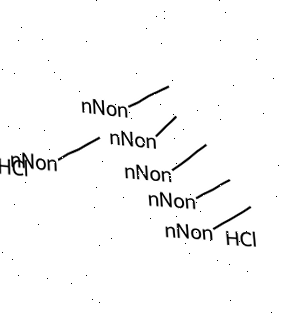 CCCCCCCCCC.CCCCCCCCCC.CCCCCCCCCC.CCCCCCCCCC.CCCCCCCCCC.CCCCCCCCCC.Cl.Cl